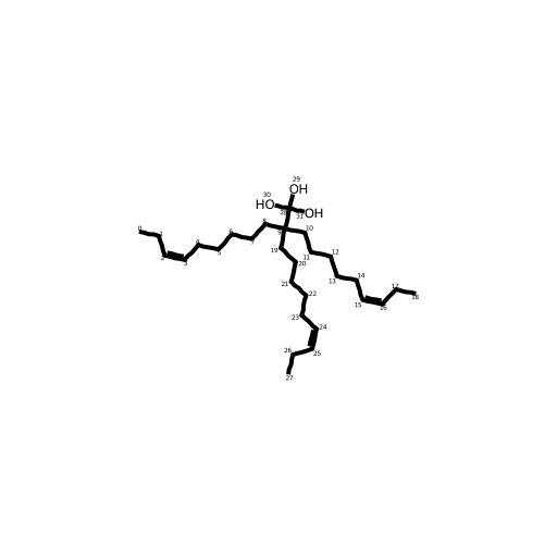 CC/C=C\CCCCCC(CCCCC/C=C\CC)(CCCCC/C=C\CC)C(O)(O)O